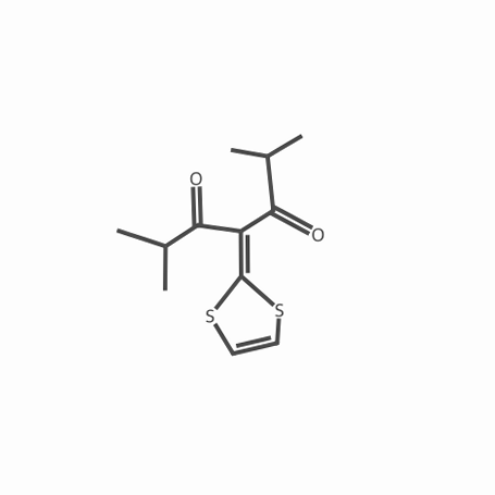 CC(C)C(=O)C(C(=O)C(C)C)=C1SC=CS1